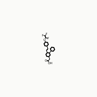 O=C(O)Cc1ccc(C=Cc2ccc(OC(F)=C(F)F)cc2)c(-c2ccccc2)c1